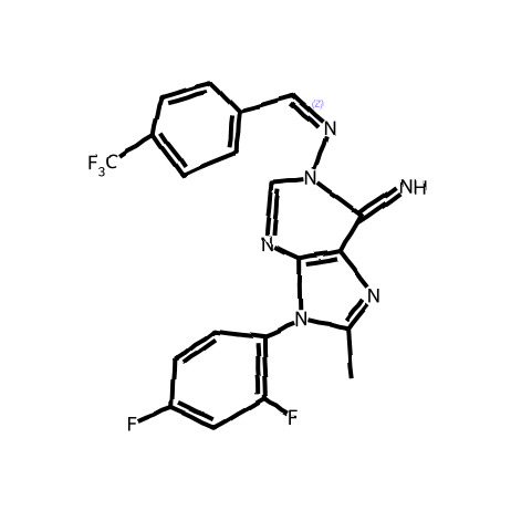 Cc1nc2c(=N)n(/N=C\c3ccc(C(F)(F)F)cc3)cnc2n1-c1ccc(F)cc1F